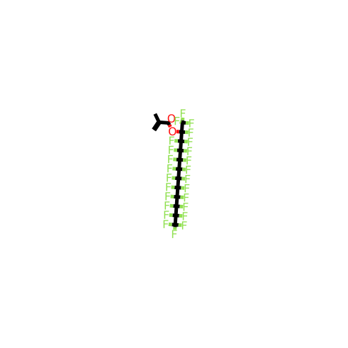 C=C(C)C(=O)OC(F)(C(F)(F)F)C(F)(F)C(F)(F)C(F)(F)C(F)(F)C(F)(F)C(F)(F)C(F)(F)C(F)(F)C(F)(F)C(F)(F)F